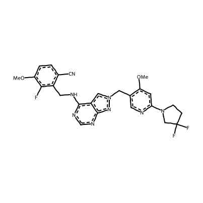 COc1cc(N2CCC(F)(F)C2)ncc1Cn1cc2c(NCc3c(C#N)ccc(OC)c3F)ncnc2n1